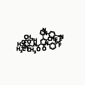 CC(=O)OC(CNC(=O)c1cc(-c2ccnn2-c2ccc(C#N)cc2)c(C)n(-c2cccc(C(F)(F)F)c2)c1=O)[N+](C)(C)C